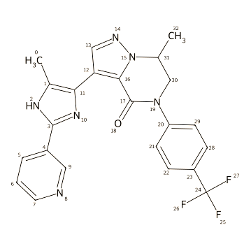 Cc1[nH]c(-c2cccnc2)nc1-c1cnn2c1C(=O)N(c1ccc(C(F)(F)F)cc1)CC2C